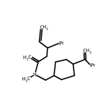 C=CC(CC(=C)N(C)CC1CCC(C(=C)C(C)C)CC1)C(C)C